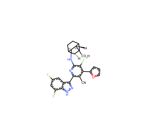 N#Cc1c(-c2n[nH]c3c(F)cc(F)cc23)nc(N[C@H]2C3CCC(CC3)[C@@H]2C(=O)O)c(F)c1-c1ccco1